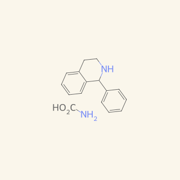 NC(=O)O.c1ccc(C2NCCc3ccccc32)cc1